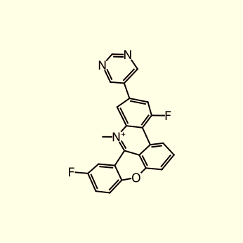 C[n+]1c2c3c(cccc3c3c(F)cc(-c4cncnc4)cc31)Oc1ccc(F)cc1-2